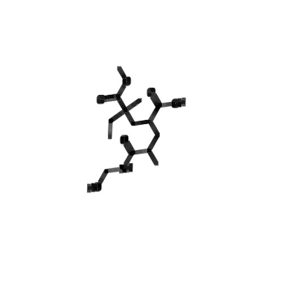 CCC(C)(CC(CC(C)C(=O)NCO)C(=O)O)C(=O)OC